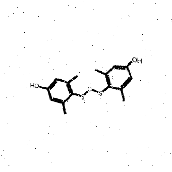 Cc1cc(O)cc(C)c1SOSc1c(C)cc(O)cc1C